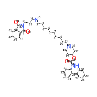 CN(CCCCCCCCCCN1CCC(OC(=O)Nc2ccccc2-c2ccccc2)CC1)CCCN1C(=O)c2ccccc2C1=O